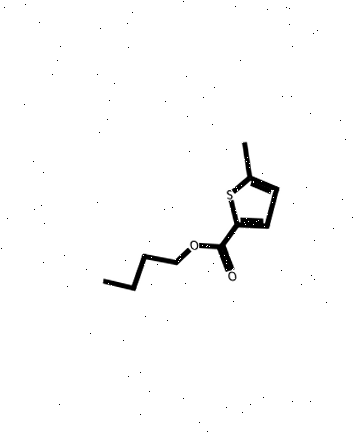 CCCCOC(=O)c1ccc(C)s1